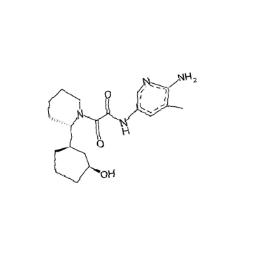 Cc1cc(NC(=O)C(=O)N2CCCC[C@H]2[C@@H]2CCC[C@H](O)C2)cnc1N